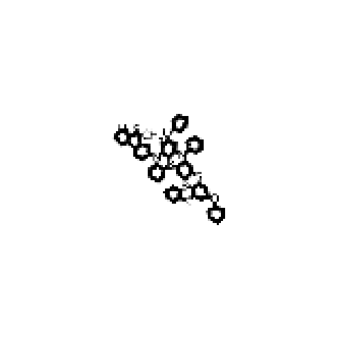 CC1(C)c2ccccc2-c2ccc(N3c4ccccc4B4c5cc6c(cc5N(c5ccccc5)c5cc(Oc7ccccc7)cc3c54)Sc3cc(Oc4ccccc4)cc4c3B6c3ccccc3S4)cc21